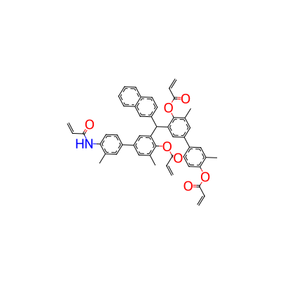 C=CC(=O)Nc1ccc(-c2cc(C)c(OC(=O)C=C)c(C(c3ccc4ccccc4c3)c3cc(-c4ccc(OC(=O)C=C)c(C)c4)cc(C)c3OC(=O)C=C)c2)cc1C